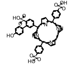 O=S(=O)(O)c1ccc(-c2c3nc(c(-c4ccc(S(=O)(=O)O)c(-c5ccc(O)cc5)c4)c4ccc([nH]4)c(-c4ccc(S(=O)(=O)O)cc4)c4nc(cc5ccc2[nH]5)C=C4)C=C3)cc1